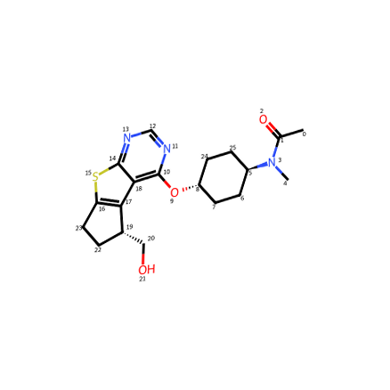 CC(=O)N(C)[C@H]1CC[C@H](Oc2ncnc3sc4c(c23)[C@H](CO)CC4)CC1